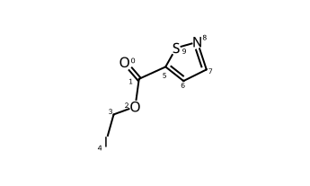 O=C(OCI)c1ccns1